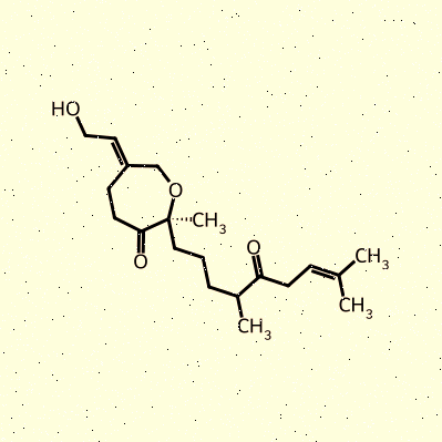 CC(C)=CCC(=O)C(C)CCC[C@]1(C)OC/C(=C/CO)CCC1=O